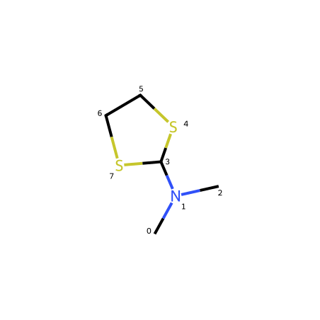 CN(C)C1SCCS1